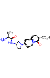 CCC[C@H](N)C(=O)NC1CCN(c2ccn3c(=O)c(C(=O)O)ccc3c2)C1